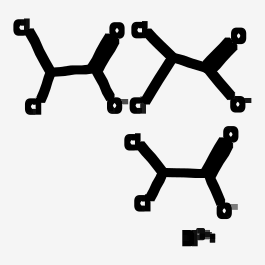 O=C([O-])C(Cl)Cl.O=C([O-])C(Cl)Cl.O=C([O-])C(Cl)Cl.[Bi+3]